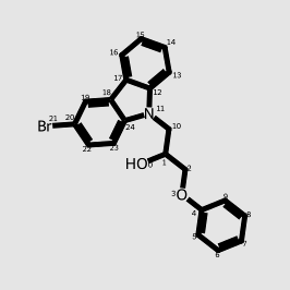 OC(COc1ccccc1)Cn1c2ccccc2c2cc(Br)ccc21